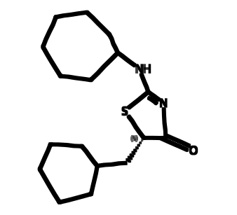 O=C1N=C(NC2CCCCCC2)S[C@H]1CC1CCCCC1